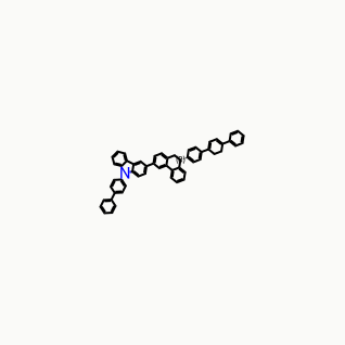 C1=C(c2ccccc2)CCC(c2ccc([C@H]3Cc4ccc(-c5ccc6c(c5)c5ccccc5n6-c5ccc(-c6ccccc6)cc5)cc4-c4ccccc43)cc2)=C1